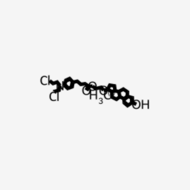 C[C@]12CCC3c4ccc(O)cc4CCC3C1CCC2OCCOC(=O)CCCc1ccc(N(CCCl)CCCl)cc1